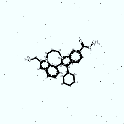 COC(=O)c1ccc2c(C3CCCCC3)c3n(c2c1)CCCn1c(CO)cc2cccc-3c21